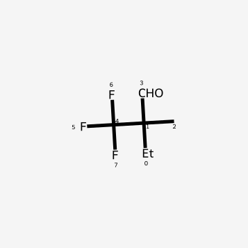 CCC(C)(C=O)C(F)(F)F